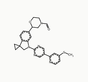 CSc1ccnc(-c2cnc(N3CC4(CC4)c4ccc(C5CN(C=O)CCO5)cc43)nc2)c1